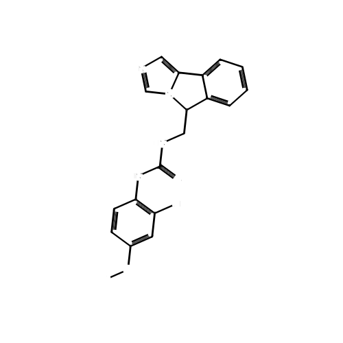 O=C(NCC1c2ccccc2-c2cncn21)Nc1ccc(OC(F)(F)F)cc1Cl